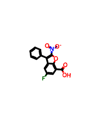 O=C(O)c1cc(F)cc2c(-c3ccccc3)c([N+](=O)[O-])oc12